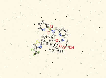 CC(C)(C)OC(=O)N(CC(=O)O)c1cccc(CN(Cc2ccc(-c3nc(C(F)(F)F)cs3)cc2)S(=O)(=O)c2ccccn2)n1